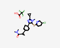 CN(C)C(=O)C1CC1c1ccc(-c2nc(C3CC3)n(C)c2Sc2ccc(Cl)cn2)cc1.O=C(O)C(F)(F)F